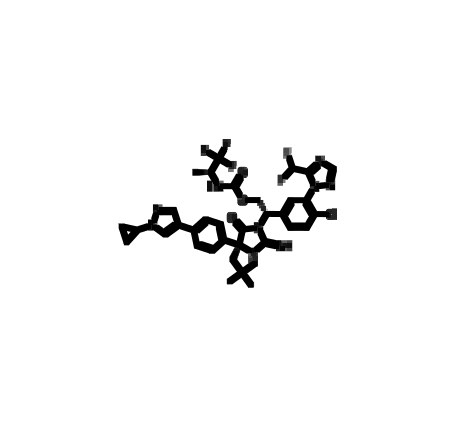 C[C@H](NC(=O)OC[C@H](c1ccc(Cl)c(-n2ncnc2C(F)F)c1)N1C(=N)N[C@](CC(C)(C)C)(c2ccc(-c3cnn(C4CC4)c3)cc2)C1=O)C(F)(F)F